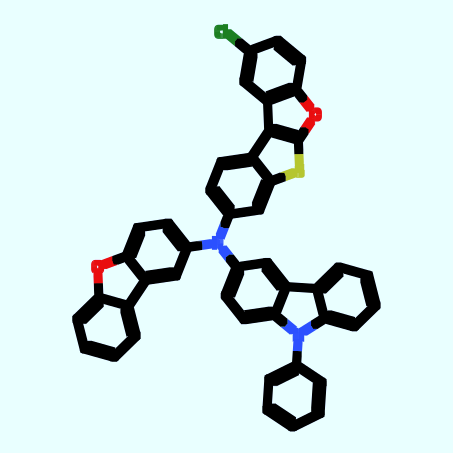 Clc1ccc2oc3sc4cc(N(c5ccc6oc7ccccc7c6c5)c5ccc6c(c5)c5ccccc5n6-c5ccccc5)ccc4c3c2c1